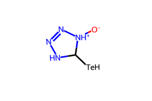 [O-][NH+]1N=NNC1[TeH]